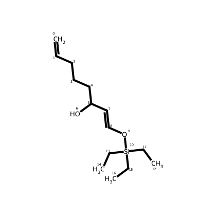 C=CCCCC(O)/C=C/O[Si](CC)(CC)CC